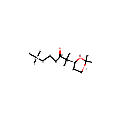 CC1(C)OCC[C@@H](C(C)(C)C(=O)CCC[Si](C)(C)C)O1